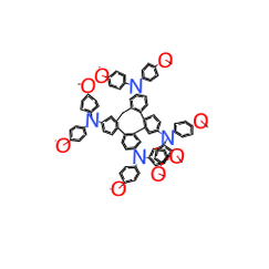 COc1ccc(N(c2ccc(OC)cc2)c2ccc3c(c2)Cc2cc(N(c4ccc(OC)cc4)c4ccc(OC)cc4)ccc2-c2ccc(N(c4ccc(OC)cc4)c4ccc(OC)cc4)cc2-c2cc(N(c4ccc(OC)cc4)c4ccc(OC)cc4)ccc2-3)cc1